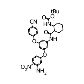 CC(C)(C)OC(=O)NC1CCCCC1C(=O)Nc1cc(Oc2ccc(C#N)cc2)cc(Oc2ccc([N+](=O)[O-])c(N)c2)c1